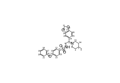 CC1CCN(C(CNS(=O)(=O)c2ccc(Oc3ccccc3)cc2)c2ccc3c(c2)OCO3)CC1